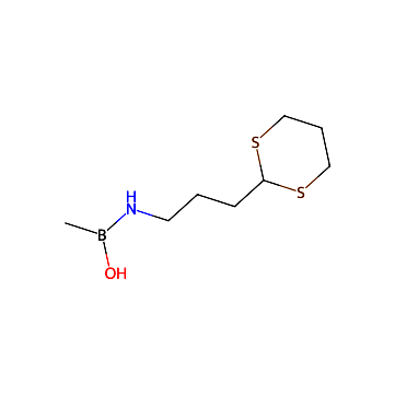 CB(O)NCCCC1SCCCS1